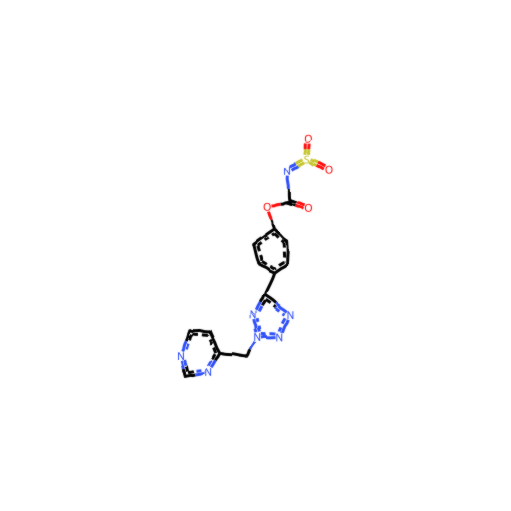 O=C(N=S(=O)=O)Oc1ccc(-c2nnn(Cc3ccncn3)n2)cc1